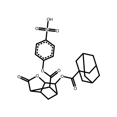 O=C1OC2C3CC(C2OC(=O)C24CC5CC(CC(C5)C2)C4)C(C(=O)Oc2ccc(S(=O)(=O)O)cc2)C13